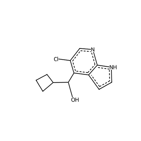 OC(c1c(Cl)cnc2[nH]ccc12)C1CCC1